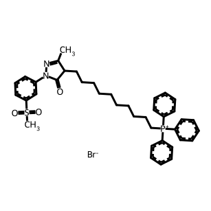 CC1=NN(c2cccc(S(C)(=O)=O)c2)C(=O)C1CCCCCCCCCC[P+](c1ccccc1)(c1ccccc1)c1ccccc1.[Br-]